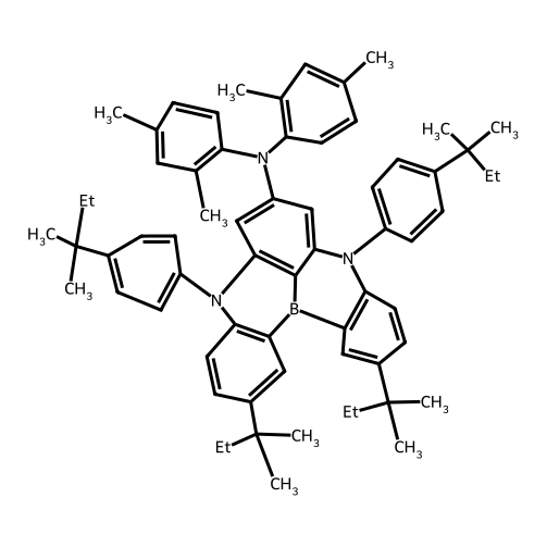 CCC(C)(C)c1ccc(N2c3ccc(C(C)(C)CC)cc3B3c4cc(C(C)(C)CC)ccc4N(c4ccc(C(C)(C)CC)cc4)c4cc(N(c5ccc(C)cc5C)c5ccc(C)cc5C)cc2c43)cc1